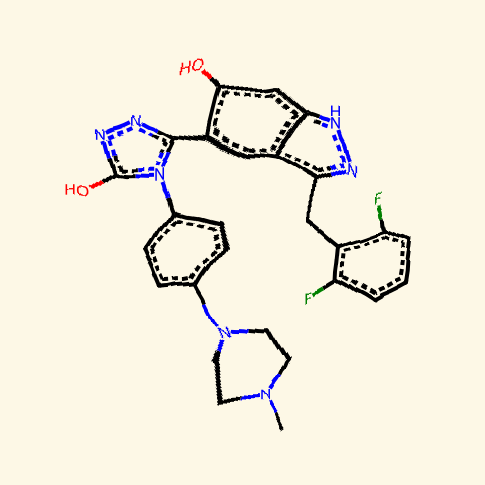 CN1CCN(c2ccc(-n3c(O)nnc3-c3cc4c(Cc5c(F)cccc5F)n[nH]c4cc3O)cc2)CC1